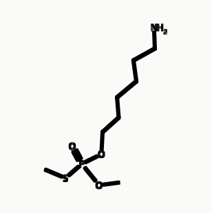 COP(=O)(OCCCCCCN)SC